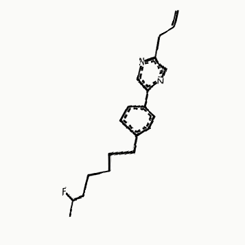 C=CCc1cnc(-c2ccc(CCCCCC(C)F)cc2)cn1